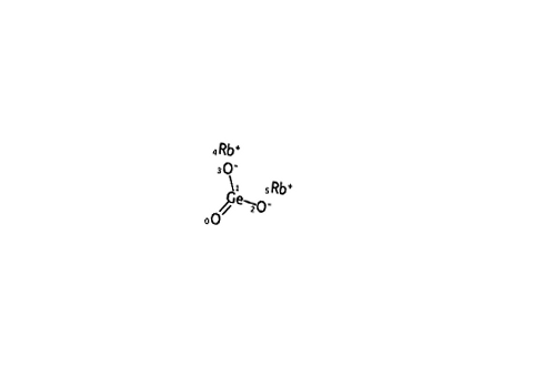 [O]=[Ge]([O-])[O-].[Rb+].[Rb+]